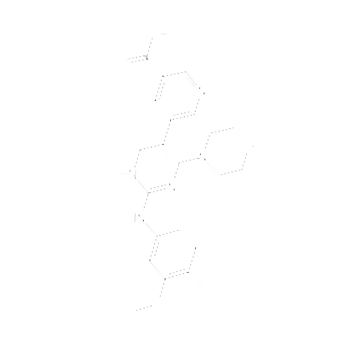 COc1cc(NC2=NC(N3CCOCC3)=C(c3cncc(C(=O)O)c3)CN2)ccc1F